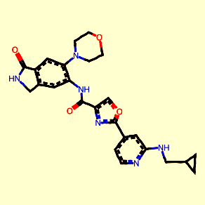 O=C(Nc1cc2c(cc1N1CCOCC1)C(=O)NC2)c1coc(-c2ccnc(NCC3CC3)c2)n1